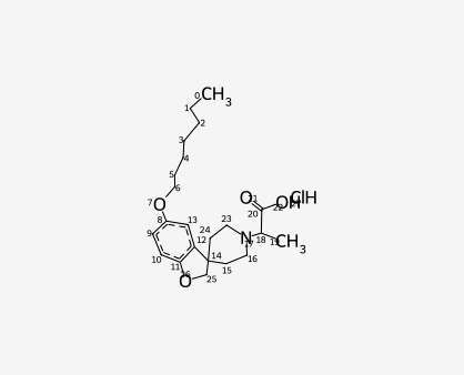 CCCCCCCOc1ccc2c(c1)C1(CCN(C(C)C(=O)O)CC1)CO2.Cl